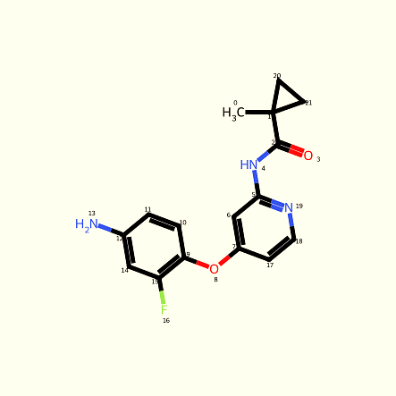 CC1(C(=O)Nc2cc(Oc3ccc(N)cc3F)ccn2)CC1